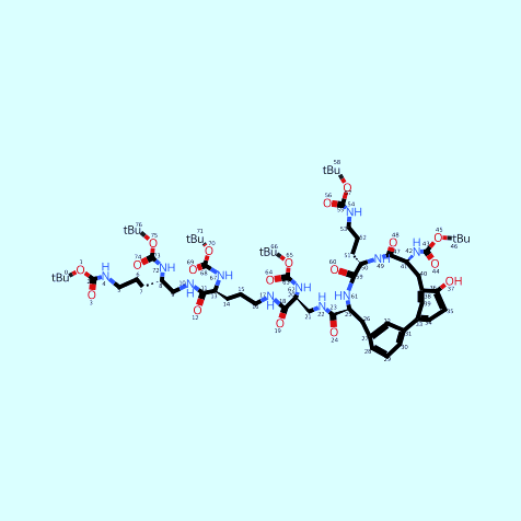 CC(C)(C)OC(=O)NCCC[C@@H](CNC(=O)[C@H](CCCNC(=O)[C@H](CNC(=O)[C@@H]1Cc2cccc(c2)-c2ccc(O)c(c2)C[C@H](NC(=O)OC(C)(C)C)C(=O)N[C@@H](CCCNC(=O)OC(C)(C)C)C(=O)N1)NC(=O)OC(C)(C)C)NC(=O)OC(C)(C)C)NC(=O)OC(C)(C)C